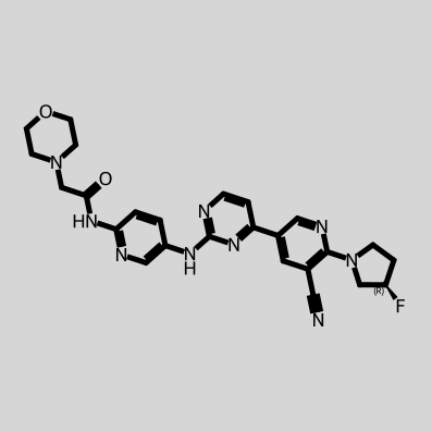 N#Cc1cc(-c2ccnc(Nc3ccc(NC(=O)CN4CCOCC4)nc3)n2)cnc1N1CC[C@@H](F)C1